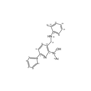 CC(=O)N(O)c1nc(-c2ccccc2)ccc1CNc1ccccc1C